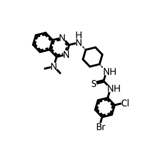 CN(C)c1nc(N[C@H]2CC[C@@H](NC(=S)Nc3ccc(Br)cc3Cl)CC2)nc2ccccc12